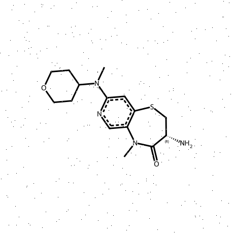 CN1C(=O)[C@@H](N)CSc2cc(N(C)C3CCOCC3)ncc21